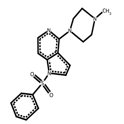 CN1CCN(c2nccc3c2ccn3S(=O)(=O)c2ccccc2)CC1